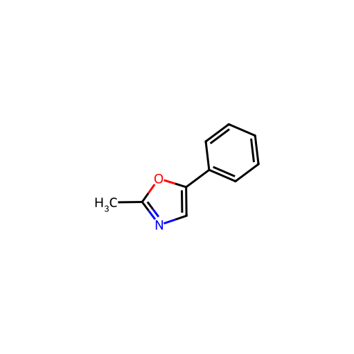 Cc1ncc(-c2ccccc2)o1